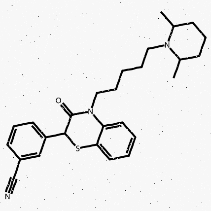 CC1CCCC(C)N1CCCCCN1C(=O)C(c2cccc(C#N)c2)Sc2ccccc21